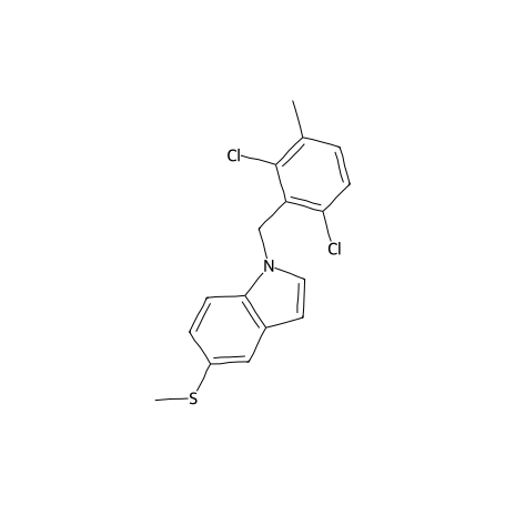 CSc1ccc2c(ccn2Cc2c(Cl)ccc(C)c2Cl)c1